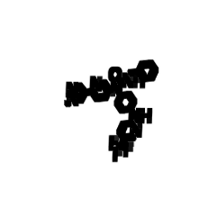 Cn1cc(-c2ccc(N(C(=O)NCc3ccccc3)C3CCC(Nc4ccc(C(F)(F)F)cn4)CC3)cn2)cn1